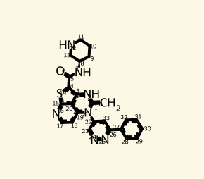 C=c1[nH]c2c(C(=O)N[C@@H]3CCCNC3)sc3nccc(c32)n1-c1cnnc(-c2ccccc2)c1